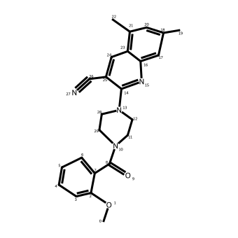 COc1ccccc1C(=O)N1CCN(c2nc3cc(C)cc(C)c3cc2C#N)CC1